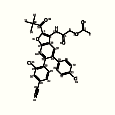 CC(=O)OCC(=O)Nc1c(C(=O)C(C)(C)C)oc2nc(-c3ccc(C#N)cc3Cl)c(-c3ccc(Cl)cc3)cc12